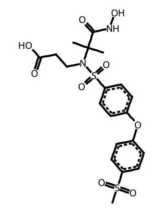 CC(C)(C(=O)NO)N(CCC(=O)O)S(=O)(=O)c1ccc(Oc2ccc(S(C)(=O)=O)cc2)cc1